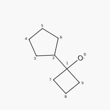 [O]C1(C2CCCC2)CCC1